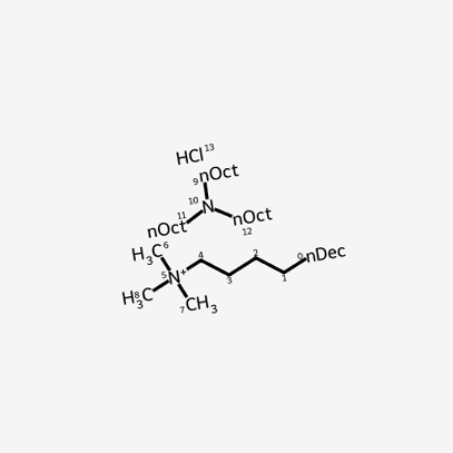 CCCCCCCCCCCCCC[N+](C)(C)C.CCCCCCCCN(CCCCCCCC)CCCCCCCC.Cl